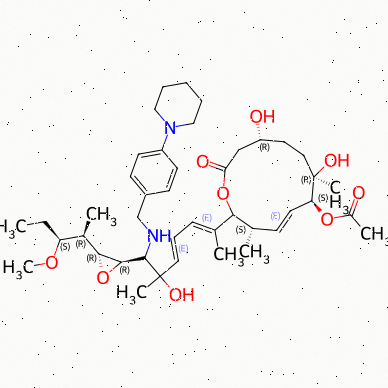 CC[C@H](OC)[C@@H](C)[C@H]1O[C@@H]1C(NCc1ccc(N2CCCCC2)cc1)C(C)(O)/C=C/C=C(\C)C1OC(=O)C[C@H](O)CC[C@@](C)(O)[C@@H](OC(C)=O)/C=C/[C@@H]1C